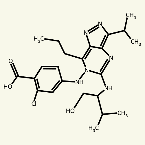 CCCc1c2nnc(C(C)C)c-2nc(NC(CO)C(C)C)n1Nc1ccc(C(=O)O)c(Cl)c1